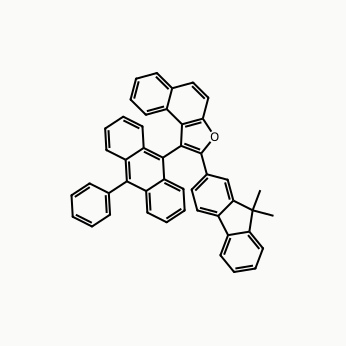 CC1(C)c2ccccc2-c2ccc(-c3oc4ccc5ccccc5c4c3-c3c4ccccc4c(-c4ccccc4)c4ccccc34)cc21